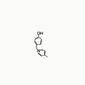 Cc1cc[n+](Cc2ccc(O)cc2)cc1